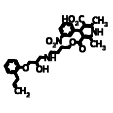 C=CCc1ccccc1OCC(O)CNCCCCOC(=O)C1=C(C)NC(C)=C(C(=O)O)C1c1cccc([N+](=O)[O-])c1